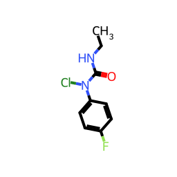 CCNC(=O)N(Cl)c1ccc(F)cc1